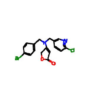 O=C1C=C(N(Cc2ccc(Br)cc2)Cc2ccc(Cl)nc2)CO1